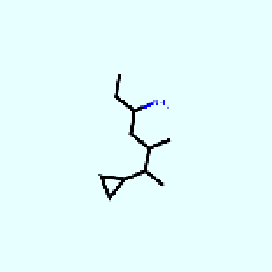 CCC(N)CC(C)C(C)C1CC1